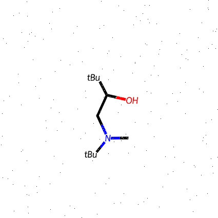 CN(CC(O)C(C)(C)C)C(C)(C)C